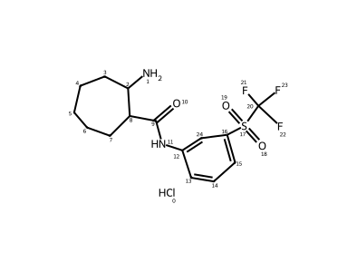 Cl.NC1CCCCCC1C(=O)Nc1cccc(S(=O)(=O)C(F)(F)F)c1